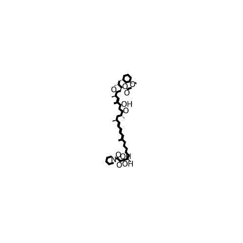 CO[C@H]1CCC[C@@H](C[C@@H](C)[C@H](CC(=O)[C@H](C)/C=C(\C)[C@@H](O)CC(=O)[C@H](C)C[C@H](C)/C=C/C=C/C=C(\C)CCCCC[C@@H](C)C(O)(O)C(=O)C(=O)N2CCCCC2)OC(C)=O)C1